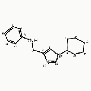 c1ccc(NCc2cn(C3CCCCC3)cn2)cc1